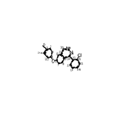 Cc1ccc(Oc2ccc3c(-c4ccccc4Cl)nncc3c2)cc1